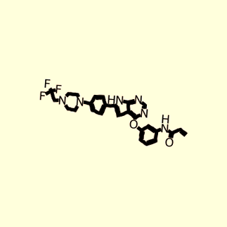 C=CC(=O)Nc1cccc(Oc2ncnc3[nH]c(-c4ccc(N5CCN(CC(F)(F)F)CC5)cc4)cc23)c1